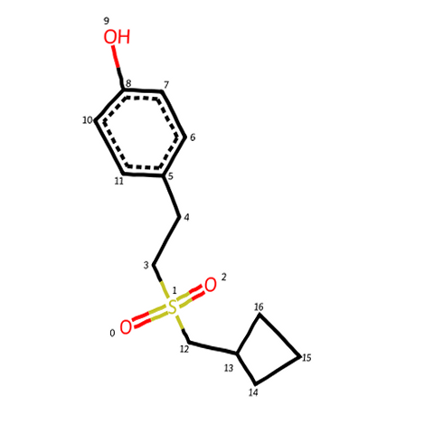 O=S(=O)(CCc1ccc(O)cc1)CC1CCC1